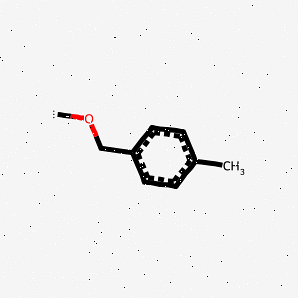 [C]OCc1ccc(C)cc1